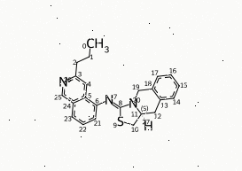 CCCc1cc2c(N=C3SC[C@@H]4Cc5ccccc5CN34)cccc2cn1